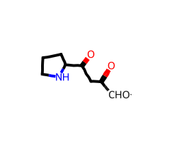 O=[C]C(=O)CC(=O)C1CCCN1